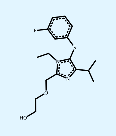 CCn1c(COCCO)nc(C(C)C)c1Sc1cccc(F)c1